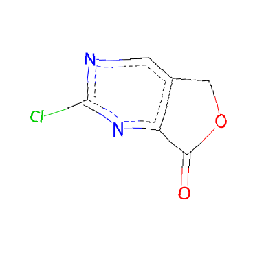 O=C1OCc2cnc(Cl)nc21